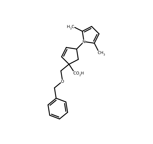 Cc1ccc(C)n1C1C=CC(COCc2ccccc2)(C(=O)O)C1